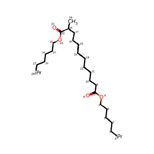 CC(C)CCCCCOC(=O)CCCCCCCCCC(C)C(=O)OCCCCCC(C)C